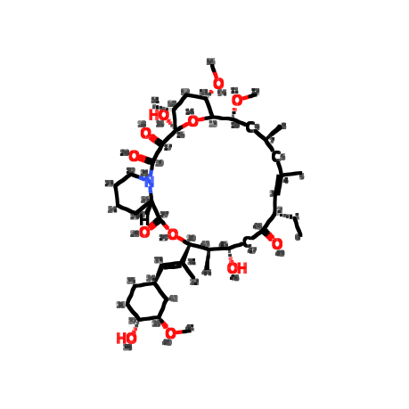 CC[C@H]1/C=C(\C)C[C@H](C)C[C@@H](OC)C2O[C@@](O)(C(=O)C(=O)N3CCCC[C@H]3C(=O)O[C@H](/C(C)=C/[C@@H]3CC[C@@H](O)[C@H](OC)C3)[C@H](C)[C@@H](O)CC1=O)[C@H](C)C[C@@H]2OC